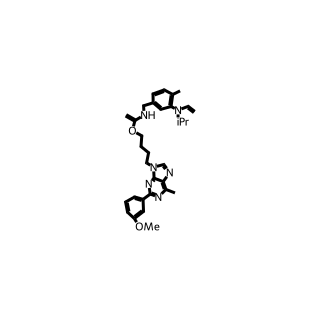 C=CN(c1cc(CNC(=C)OCCCCn2cnc3c(C)nc(-c4cccc(OC)c4)nc32)ccc1C)C(C)C